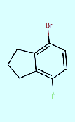 Fc1ccc(Br)c2c1CCC2